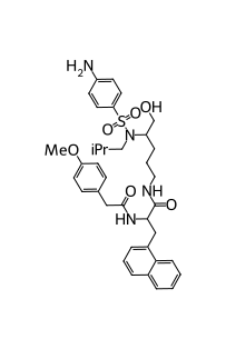 COc1ccc(CC(=O)NC(Cc2cccc3ccccc23)C(=O)NCCCC(CO)N(CC(C)C)S(=O)(=O)c2ccc(N)cc2)cc1